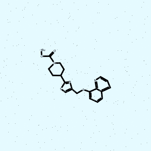 CC(C)(C)OC(=O)N1CCC(c2nc(CSc3cccc4cccnc34)cs2)CC1